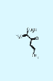 C=C(C(=O)O)C(=O)C=CC